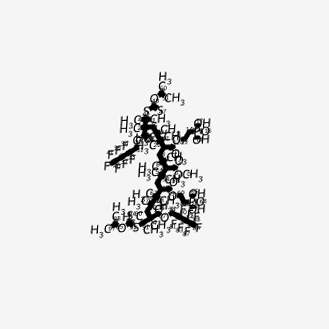 COC(=O)C(C(C)(C)CC(C(=O)OCCP(=O)(O)O)C(C)(C)C(C)(C)CC(C)(C(=O)OCC(F)(F)C(F)(F)C(F)(F)F)C(C)(C)SC(=S)OC(C)C)C(C)(C)CC(C(=O)OCCP(=O)(O)O)C(C)(C)C(C)(C)CC(C)(C(=O)OCC(F)(F)C(F)(F)C(F)(F)F)C(C)(C)SC(=S)OC(C)C